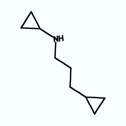 C(CNC1CC1)CC1CC1